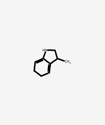 CC1CNC2=CCCC=C21